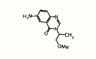 COCC(C)n1cnc2ccc(N)cc2c1=O